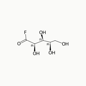 O=C(F)[C@H](O)[C@@H](O)[C@H](O)CO